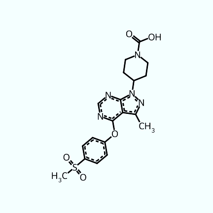 Cc1nn(C2CCN(C(=O)O)CC2)c2ncnc(Oc3ccc(S(C)(=O)=O)cc3)c12